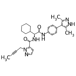 CC#CCn1nccc1C(=O)N[C@H](C(=O)Nc1ccc(-c2c(C)n[nH]c2C)cc1)C1CCCCC1